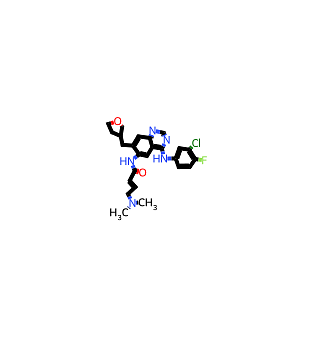 CN(C)CC=CC(=O)Nc1cc2c(Nc3ccc(F)c(Cl)c3)ncnc2cc1CC1CCOC1